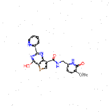 COc1ccc(CNC(=O)c2csc3c(O)nc(-c4ccccn4)nc23)[nH]c1=O